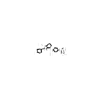 COc1cc(Nc2cccc3c2nc(-c2ccc(F)cc2)n3C(C)C)ccc1-n1cnc(C)n1